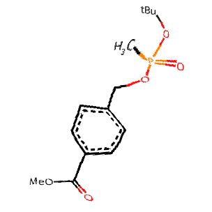 COC(=O)c1ccc(COP(C)(=O)OC(C)(C)C)cc1